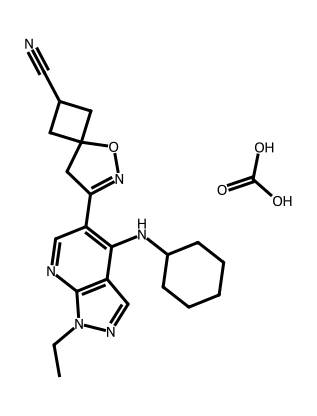 CCn1ncc2c(NC3CCCCC3)c(C3=NOC4(C3)CC(C#N)C4)cnc21.O=C(O)O